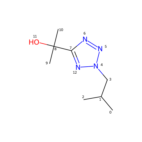 CC(C)Cn1nnc(C(C)(C)O)n1